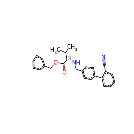 CC(C)[C@H](NCc1ccc(-c2ccccc2C#N)cc1)C(=O)OCc1ccccc1